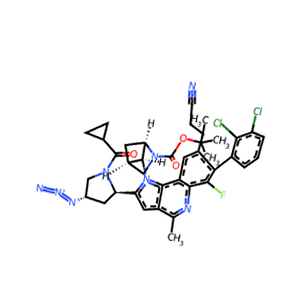 Cc1nc2c(F)c(-c3cccc(Cl)c3Cl)c(CCC#N)cc2c2c1cc([C@H]1C[C@H](N=[N+]=[N-])CN1C(=O)C1CC1)n2[C@H]1[C@@H]2C[C@H]1N(C(=O)OC(C)(C)C)C2